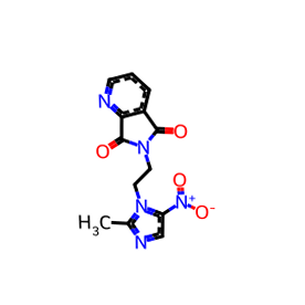 Cc1ncc([N+](=O)[O-])n1CCN1C(=O)c2cccnc2C1=O